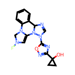 OC1(c2noc(N3C=NC4c5ccccc5N5CN(F)C=C5N43)n2)CC1